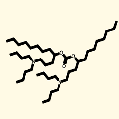 CCCCCCCCC(CCCN(CCCC)CCCC)OC(=O)OC(CCCCCCCC)CCCN(CCCC)CCCC